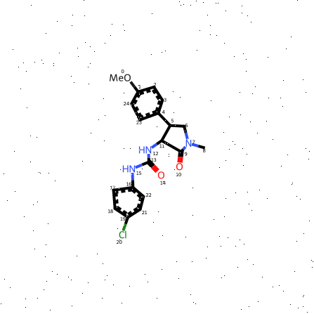 COc1ccc(C2CN(C)C(=O)C2NC(=O)Nc2ccc(Cl)cc2)cc1